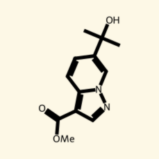 COC(=O)c1cnn2cc(C(C)(C)O)ccc12